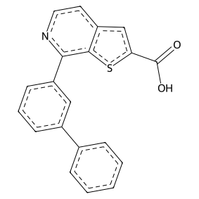 O=C(O)c1cc2ccnc(-c3cccc(-c4ccccc4)c3)c2s1